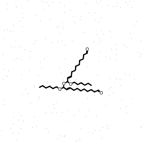 CCCCCCOC(C=CCCCCCCCC=O)OC(C=CCCCCCCCC=O)OCCCCCC